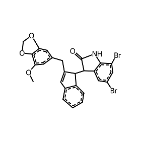 COc1cc(CC2=Cc3ccccc3C2C2C(=O)Nc3c(Br)cc(Br)cc32)cc2c1OCO2